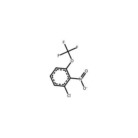 O=[N+]([O-])c1c(Cl)cccc1OC(F)(F)F